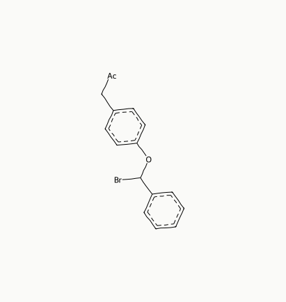 CC(=O)Cc1ccc(OC(Br)c2ccccc2)cc1